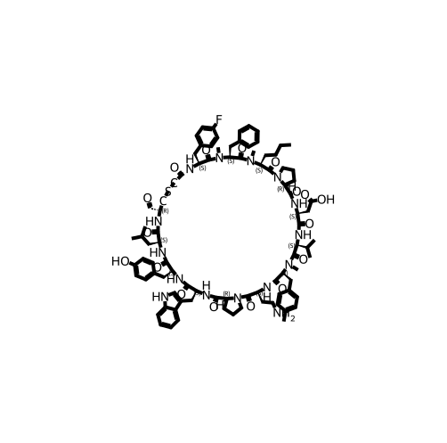 CCCC[C@H]1C(=O)N2CCC[C@@H]2C(=O)N[C@@H](CC(=O)O)C(=O)N[C@@H](C(C)C)C(=O)N(C)[C@@H](Cc2ccc(C)cc2)C(=O)N[C@@H](CCN)C(=O)N2CCC[C@@H]2C(=O)N[C@@H](Cc2c[nH]c3ccccc23)C(=O)N[C@@H](Cc2ccc(O)cc2)C(=O)N[C@@H](CC(C)C)C(=O)N[C@H](C=O)CSCC(=O)N[C@@H](Cc2ccc(F)cc2)C(=O)N(C)[C@@H](Cc2ccccc2)C(=O)N1C